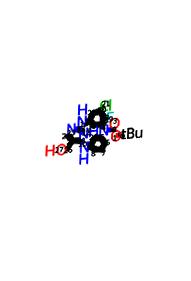 CC(C)(C)OC(=O)Nc1cccc(Nc2nc(Nc3ccc(F)c(Cl)c3)ncc2CO)c1